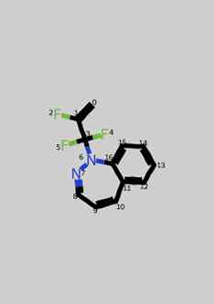 C=C(F)C(F)(F)N1N=CC=Cc2ccccc21